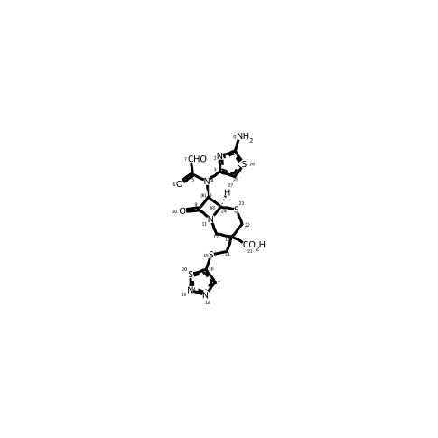 Nc1nc(N(C(=O)C=O)[C@@H]2C(=O)N3CC(CSc4cnns4)(C(=O)O)CS[C@H]23)cs1